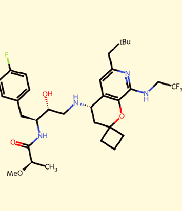 CO[C@H](C)C(=O)N[C@@H](Cc1ccc(F)cc1)[C@H](O)CN[C@H]1CC2(CCC2)Oc2c1cc(CC(C)(C)C)nc2NCC(F)(F)F